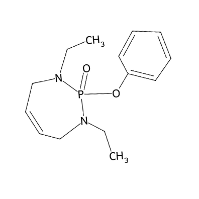 CCN1CC=CCN(CC)P1(=O)Oc1ccccc1